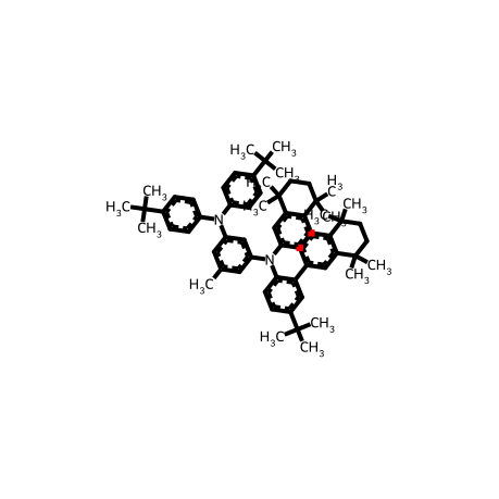 Cc1cc(N(c2ccc(C(C)(C)C)cc2)c2ccc(C(C)(C)C)cc2)cc(N(c2ccc3c(c2)C(C)(C)CCC3(C)C)c2ccc(C(C)(C)C)cc2-c2ccc3c(c2)C(C)(C)CCC3(C)C)c1